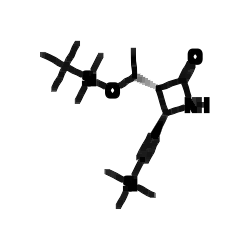 CC(O[Si](C)(C)C(C)(C)C)[C@@H]1C(=O)N[C@H]1C#C[Si](C)(C)C